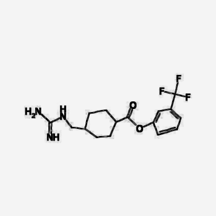 N=C(N)NCC1CCC(C(=O)Oc2cccc(C(F)(F)F)c2)CC1